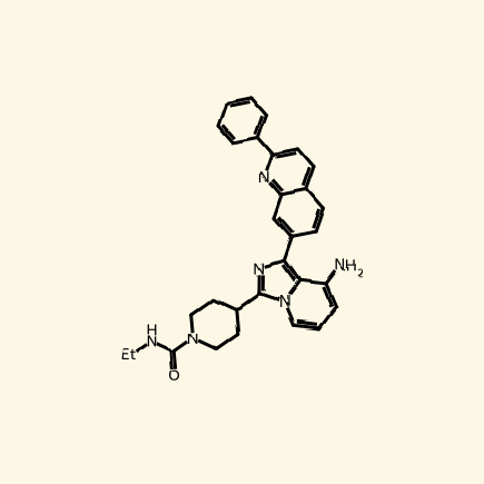 CCNC(=O)N1CCC(c2nc(-c3ccc4ccc(-c5ccccc5)nc4c3)c3c(N)cccn23)CC1